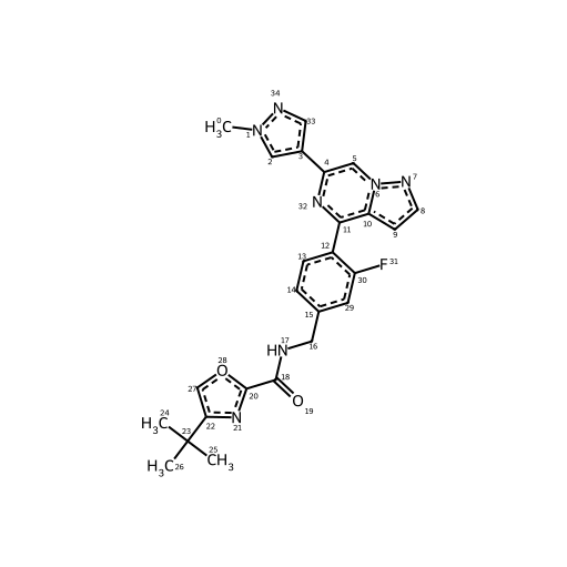 Cn1cc(-c2cn3nccc3c(-c3ccc(CNC(=O)c4nc(C(C)(C)C)co4)cc3F)n2)cn1